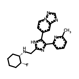 Cc1cccc(-c2nc(CN[C@H]3CCCC[C@H]3F)[nH]c2-c2ccn3ncnc3c2)n1